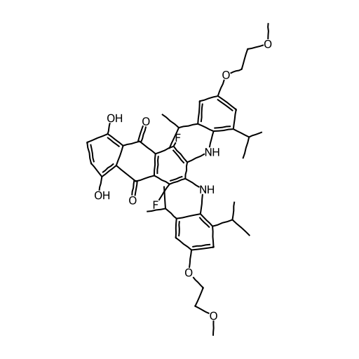 COCCOc1cc(C(C)C)c(Nc2c(F)c3c(c(F)c2Nc2c(C(C)C)cc(OCCOC)cc2C(C)C)C(=O)c2c(O)ccc(O)c2C3=O)c(C(C)C)c1